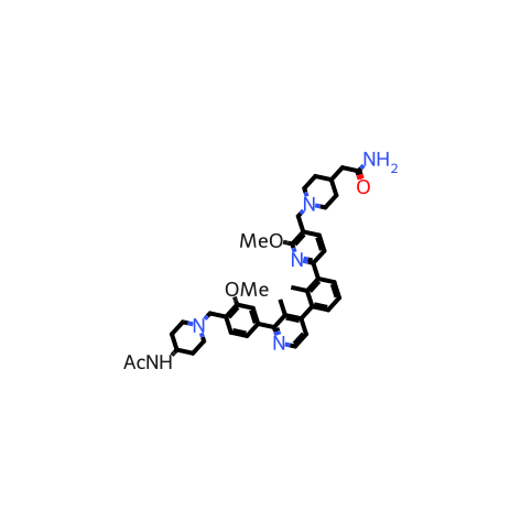 COc1cc(-c2nccc(-c3cccc(-c4ccc(CN5CCC(CC(N)=O)CC5)c(OC)n4)c3C)c2C)ccc1CN1CCC(NC(C)=O)CC1